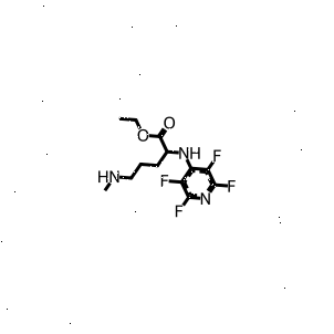 CCOC(=O)C(CCCNC)Nc1c(F)c(F)nc(F)c1F